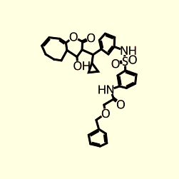 O=C(COCc1ccccc1)Nc1cccc(S(=O)(=O)Nc2cccc(C(C3CC3)C3C(=O)OC4=CC=CCCCC4C3O)c2)c1